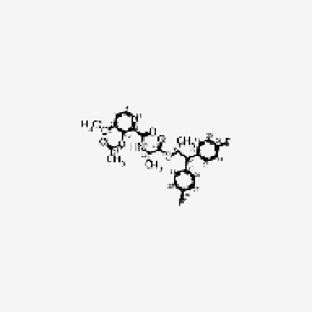 COc1ccnc(C(=O)N[C@@H](C)C(=O)O[C@H](C)C(c2ccc(F)cc2)c2ccc(F)cc2)c1OC(C)=O